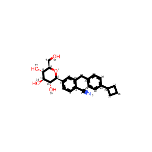 N#Cc1ccc([C@@H]2O[C@H](CO)[C@@H](O)[C@H](O)[C@H]2O)cc1Cc1ccc(C2CCC2)cc1